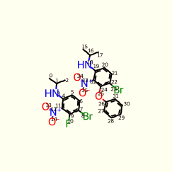 CC(C)Nc1ccc(Br)c(F)c1[N+](=O)[O-].CC(C)Nc1ccc(Br)c(Oc2ccccc2)c1[N+](=O)[O-]